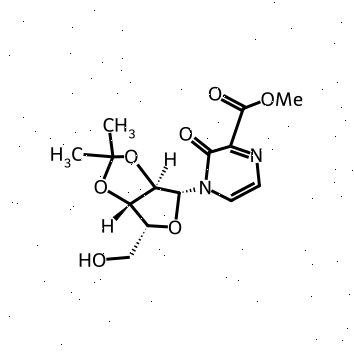 COC(=O)c1nccn([C@@H]2O[C@H](CO)[C@@H]3OC(C)(C)O[C@H]32)c1=O